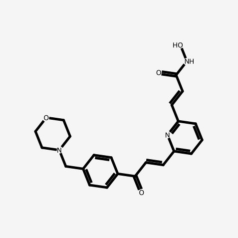 O=C(/C=C/c1cccc(/C=C/C(=O)c2ccc(CN3CCOCC3)cc2)n1)NO